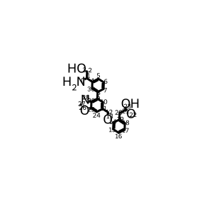 NC(CO)c1cccc(-c2cc(COc3ccccc3CC(=O)O)cc3ocnc23)c1